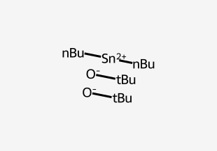 CC(C)(C)[O-].CC(C)(C)[O-].CCC[CH2][Sn+2][CH2]CCC